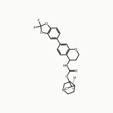 O=C(NC1CCOc2cc(-c3ccc4c(c3)OC(F)(F)O4)ccc21)O[C@@H]1CN2CCC1CC2